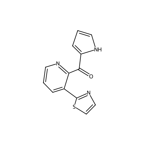 O=C(c1ccc[nH]1)c1ncccc1-c1nccs1